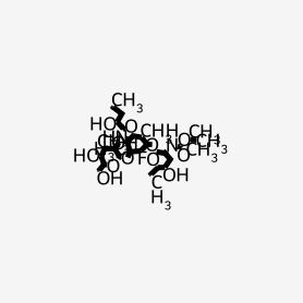 CCCC(O)C(=O)NC1(C)CC(C)C(OC2OC(CC)C(O)CC2NC(=O)OC(C)(C)C)C(F)C1OC1OC(CO)C(O)C(C)C1O